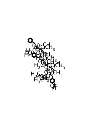 CN[C@@H](CC(C)(C)F)C(=O)O[C@H](Cc1ccc(OC(F)(F)F)cc1)C(=O)N(C)[C@@H](CC(C)(C)C)C(=O)O[C@H](C)C(=O)N(C)[C@@H](CC(C)(C)F)C(=O)O[C@H](Cc1ccc(OC(F)(F)F)cc1)C(=O)N(C)[C@@H](CC(C)(C)C)C(=O)O[C@H](C)C(=O)OCc1ccccc1